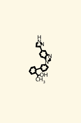 CC(O)c1ccccc1-c1cccc(-n2cnc3cc(-c4cc[nH]n4)ccc32)c1